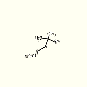 BC(C)(CCC)CCCCCCC